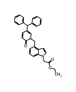 CCOC(=O)Cn1ccc2c(Cn3cc(C(c4ccccc4)c4ccccc4)ccc3=O)cccc21